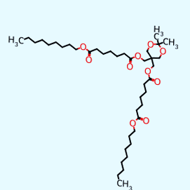 CCCCCCCCCOC(=O)CCCCCC(=O)OCC1(COC(=O)CCCCCC(=O)OCCCCCCCCC)COC(C)(C)OC1